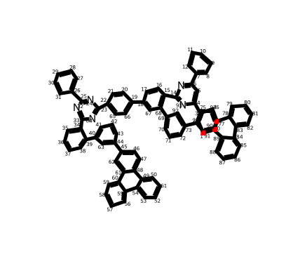 c1ccc(-c2cc(-c3ccccc3)nc(-c3ccc(-c4ccc(-c5nc(-c6ccccc6)nc(-c6ccccc6-c6cccc(-c7ccc8c9ccccc9c9ccccc9c8c7)c6)n5)cc4)cc3-c3cccc(-c4ccc5c6ccccc6c6ccccc6c5c4)c3)n2)cc1